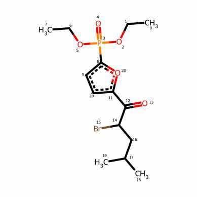 CCOP(=O)(OCC)c1c[c]c(C(=O)C(Br)CC(C)C)o1